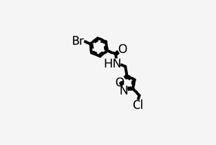 O=C(NCc1cc(CCl)no1)c1ccc(Br)cc1